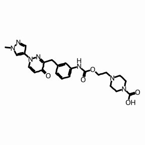 Cn1cc(-n2ccc(=O)c(Cc3cccc(NC(=O)OCCN4CCN(C(=O)O)CC4)c3)n2)cn1